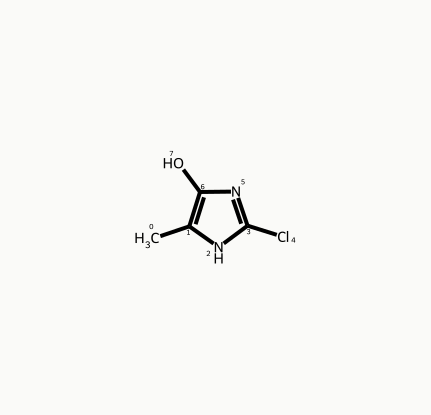 Cc1[nH]c(Cl)nc1O